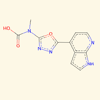 CN(C(=O)O)c1nnc(-c2ccnc3[nH]ccc23)o1